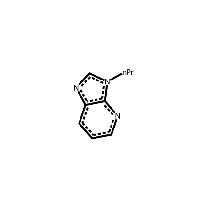 C[CH]Cn1cnc2cccnc21